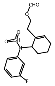 O=COCCC1=CCCCC1N(c1cccc(F)c1)[SH](=O)=O